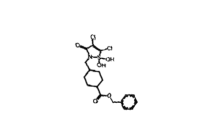 O=C(OCc1ccccc1)C1CCC(CN2C(=O)C(Cl)=C(Cl)S2(O)O)CC1